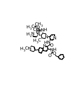 C[C@H]1CN(c2ccncc2NC(=O)c2nc3cc(C4=CCN(C)CC4)ccc3cc2NC(=O)OCc2ccccc2)C[C@@H](NC(=O)OC(C)(C)C)[C@H]1N/C=C\N